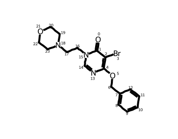 O=c1c(Br)c(OCc2ccccc2)ncn1CCN1CCOCC1